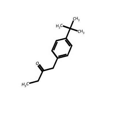 CCC(=O)Cc1ccc(C(C)(C)C)cc1